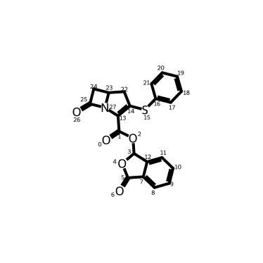 O=C(OC1OC(=O)c2ccccc21)C1=C(Sc2ccccc2)CC2CC(=O)N12